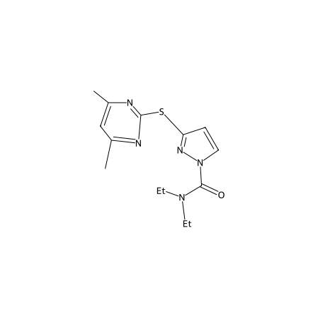 CCN(CC)C(=O)n1ccc(Sc2nc(C)cc(C)n2)n1